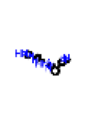 C1=C(c2ccn3nccc3c2)c2cnc(NCc3ccc(N4CCNCC4)nc3)nc2CCC1